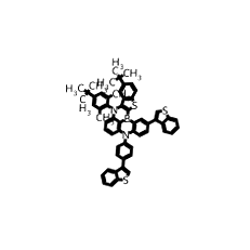 Cc1cc(C(C)(C)C)cc(C)c1N1c2cccc3c2B(c2cc(-c4csc5ccccc45)ccc2N3c2ccc(-c3csc4ccccc34)cc2)c2sc3ccc(C(C)(C)C)cc3c21